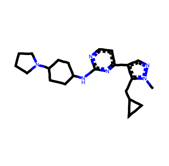 Cn1ncc(-c2ccnc(NC3CCC(N4CCCC4)CC3)n2)c1CC1CC1